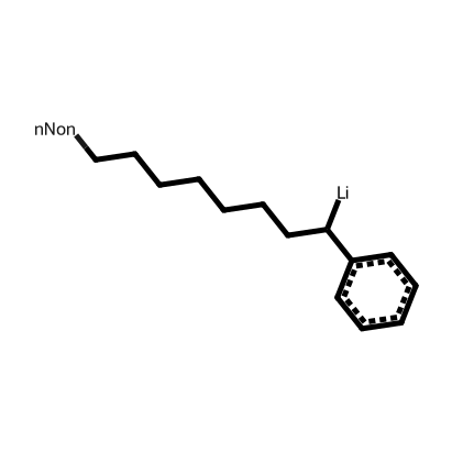 [Li][CH](CCCCCCCCCCCCCCCC)c1ccccc1